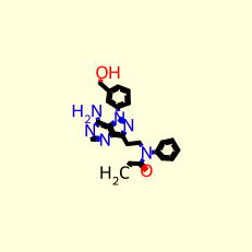 C=CC(=O)N(CCc1nn(-c2cccc(CO)c2)c2c(N)ncnc12)c1ccccc1